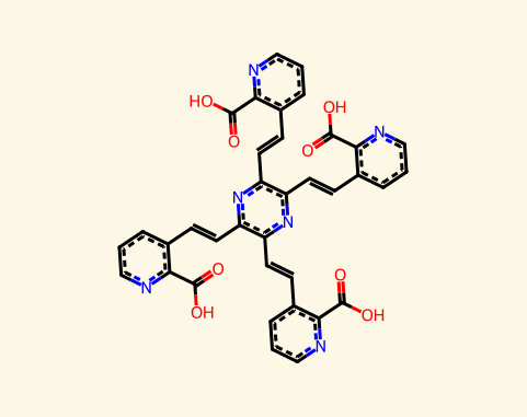 O=C(O)c1ncccc1C=Cc1nc(C=Cc2cccnc2C(=O)O)c(C=Cc2cccnc2C(=O)O)nc1C=Cc1cccnc1C(=O)O